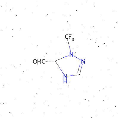 O=CC1NC=NN1C(F)(F)F